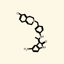 C/C(Nc1ccc(CN2CC=C3CC=C(Cl)C=C3CC2)cc1)=C1/C(=O)Nc2ccc(N)cc21